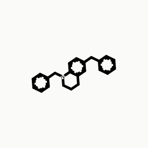 c1ccc(Cc2ccc3c(c2)CCCN3Cc2ccccc2)cc1